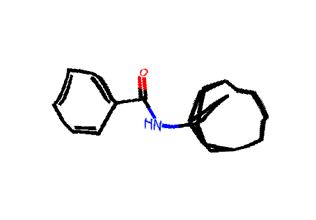 O=C(NC12CC3CCCC(CC(C3)C1)C2)c1ccccc1